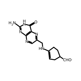 Nc1nc2ncc(CNC3=CCC([C]=O)CC3)nc2c(=O)[nH]1